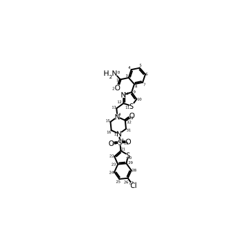 NC(=O)c1ccccc1-c1csc(CN2CCN(S(=O)(=O)c3cc4ccc(Cl)cc4s3)CC2=O)n1